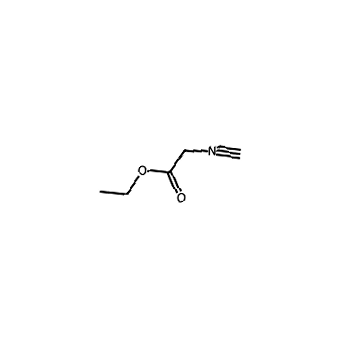 C#[N+]CC(=O)OCC